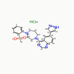 CS(=O)(=O)c1ccccc1N1CCCN(c2ncnc3ccc(-c4cn[nH]c4)cc23)CC1.Cl